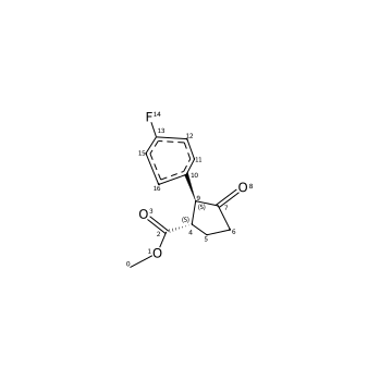 COC(=O)[C@H]1CCC(=O)[C@@H]1c1ccc(F)cc1